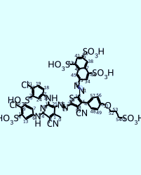 Cc1c(C#N)c(Nc2ccc(Cl)c(S(=O)(=O)O)c2)nc(Nc2ccc(Cl)c(S(=O)(=O)O)c2)c1N=Nc1sc(/N=N/c2cc(S(=O)(=O)O)c3cc(S(=O)(=O)O)cc(S(=O)(=O)O)c3c2)c(-c2ccc(OCCCS(=O)(=O)O)cc2)c1C#N